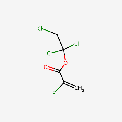 C=C(F)C(=O)OC(Cl)(Cl)CCl